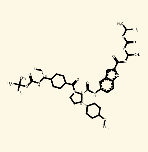 COC1CCC([C@@H]2CCN(C(=O)C3CCC([C@@H](CF)NC(=O)OC(C)(C)C)CC3)[C@@H]2C(=O)Nc2ccc3oc(C(=O)OC(C)OC(=O)OC(C)C)cc3c2)CC1